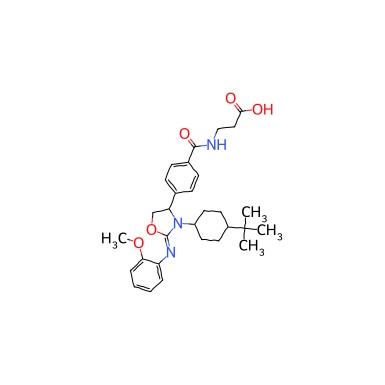 COc1ccccc1N=C1OCC(c2ccc(C(=O)NCCC(=O)O)cc2)N1C1CCC(C(C)(C)C)CC1